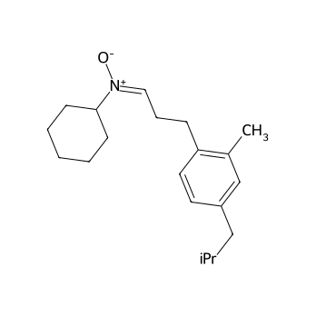 Cc1cc(CC(C)C)ccc1CC/C=[N+](/[O-])C1CCCCC1